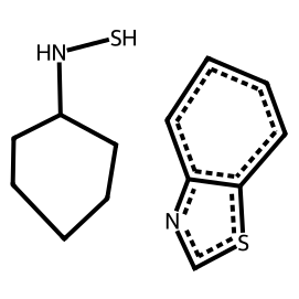 SNC1CCCCC1.c1ccc2scnc2c1